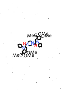 COc1cc2c(cc(C(=O)N3CCCN(C(=O)c4cc5c(OC)c(OC)c(OC)cc5n4-c4ccccc4)CC3)n2-c2ccccc2)c(OC)c1OC